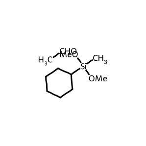 CO[Si](C)(OC)C1CCCCC1.C[C]=O